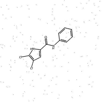 O=C(Nc1ccccc1)c1cc(Cl)c(Cl)[nH]1